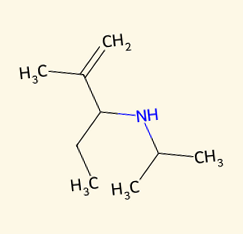 C=C(C)C(CC)NC(C)C